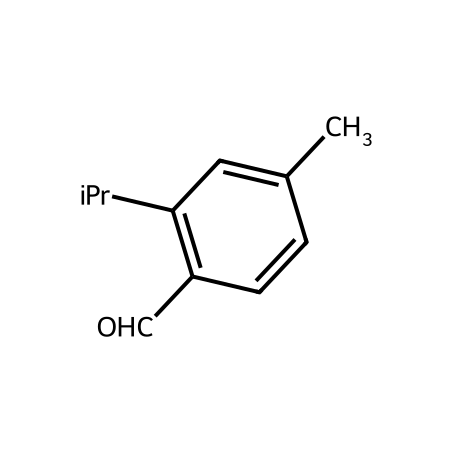 Cc1ccc(C=O)c(C(C)C)c1